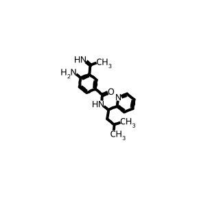 CC(=N)c1cc(C(=O)NC(CC(C)C)c2ccccn2)ccc1N